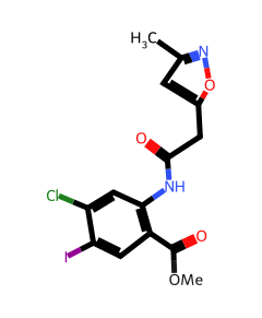 COC(=O)c1cc(I)c(Cl)cc1NC(=O)Cc1cc(C)no1